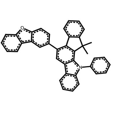 CC1(C)c2ccccc2-c2c(-c3ccc4oc5ccccc5c4c3)cc3c4ccccc4n(-c4ccccc4)c3c21